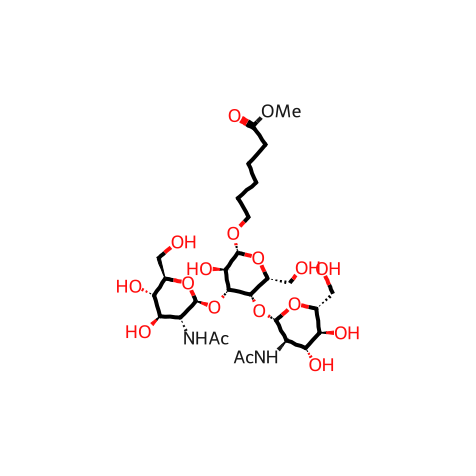 COC(=O)CCCCCO[C@@H]1O[C@H](CO)[C@H](O[C@@H]2O[C@H](CO)[C@@H](O)[C@H](O)[C@H]2NC(C)=O)[C@H](O[C@@H]2O[C@H](CO)[C@@H](O)[C@H](O)[C@H]2NC(C)=O)[C@H]1O